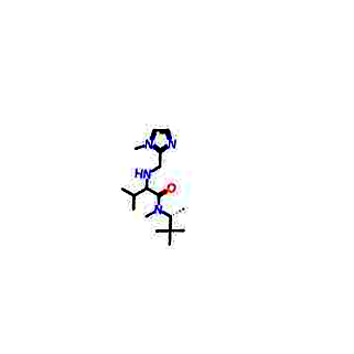 CC(C)C(NCc1nccn1C)C(=O)N(C)[C@H](C)C(C)(C)C